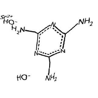 Nc1nc(N)nc(N)n1.[OH-].[OH-].[Sr+2]